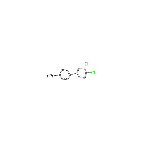 C[CH]Cc1ccc(-c2ccc(Cl)c(Cl)c2)cc1